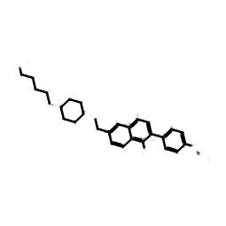 CCCCCC[C@H]1CC[C@H](CCc2ccc3c(F)c(-c4ccc(OC)cc4)ccc3c2)CC1